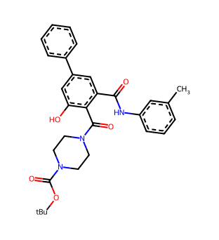 Cc1cccc(NC(=O)c2cc(-c3ccccc3)cc(O)c2C(=O)N2CCN(C(=O)OC(C)(C)C)CC2)c1